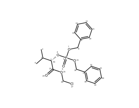 CC(C)[C@H](OP(=O)(OCc1ccccc1)OCc1ccccc1)C(=O)OCCl